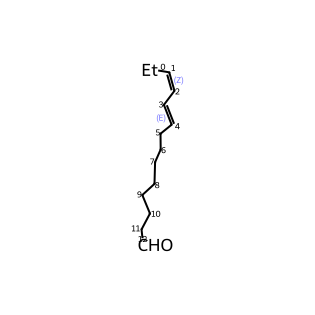 CC/C=C\C=C\CCCCCCCC=O